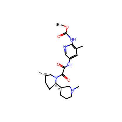 Cc1cc(NC(=O)C(=O)N2C[C@@H](C)CC[C@@H]2[C@@H]2CCCN(C)C2)cnc1NC(=O)OC(C)(C)C